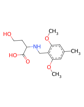 COc1cc(C)cc(OC)c1CNC(CCO)C(=O)O